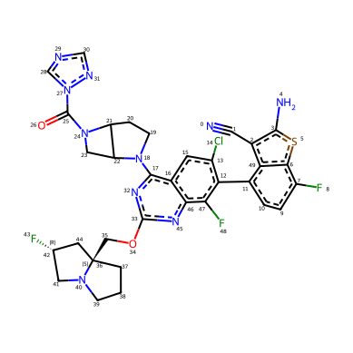 N#Cc1c(N)sc2c(F)ccc(-c3c(Cl)cc4c(N5CCC6C5CN6C(=O)n5cncn5)nc(OC[C@@]56CCCN5C[C@H](F)C6)nc4c3F)c12